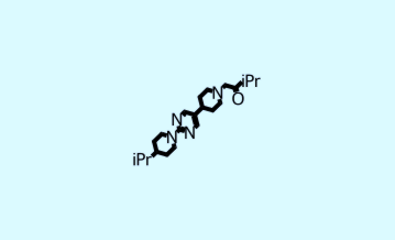 CC(C)C(=O)CN1CCC(c2cnc(N3CCC(C(C)C)CC3)nc2)CC1